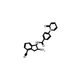 N#Cc1cccc2c1CC(N)C2NC(=O)c1ccc(-n2ccccc2=O)cc1